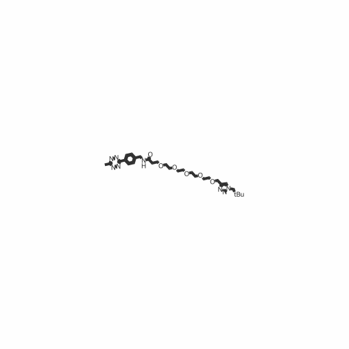 Cc1nnc(-c2ccc(CNC(=O)CCOCCOCCOCCOCCOCc3cn(CC(C)(C)C)nn3)cc2)nn1